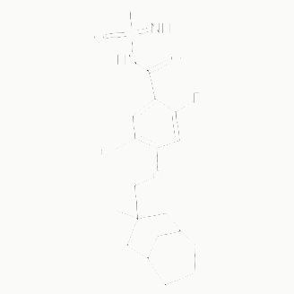 CC1(COc2cc(F)c(C(=O)NS(C)(=N)=O)cc2Cl)CC2CCCC(C2)C1